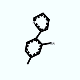 Cc1ccc(-c2ccccn2)c(C(C)(C)C)c1